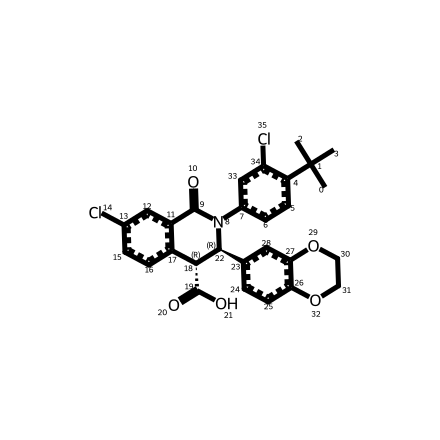 CC(C)(C)c1ccc(N2C(=O)c3cc(Cl)ccc3[C@@H](C(=O)O)[C@@H]2c2ccc3c(c2)OCCO3)cc1Cl